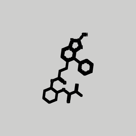 C=C(C)C(=O)OC1CCCCC1OC(=O)CCc1ccc2nn(O)nc2c1-c1ccccc1